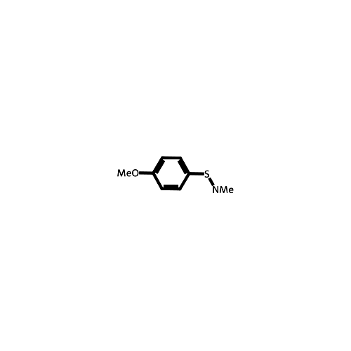 CNSc1ccc(OC)cc1